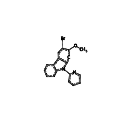 COc1cc2c(cc1Br)c1ccccc1n2-c1ccccn1